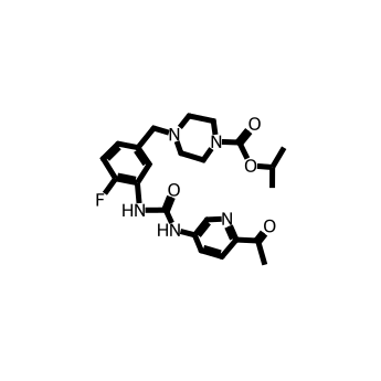 CC(=O)c1ccc(NC(=O)Nc2cc(CN3CCN(C(=O)OC(C)C)CC3)ccc2F)cn1